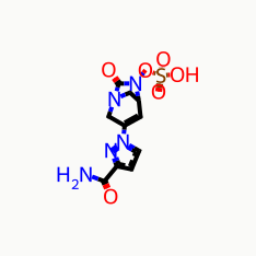 NC(=O)c1ccn(C2=CC3CN(C2)C(=O)N3OS(=O)(=O)O)n1